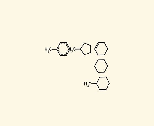 C1=CCCCC1.C1CCCCC1.CC1CCCC1.CC1CCCCC1.Cc1ccccc1